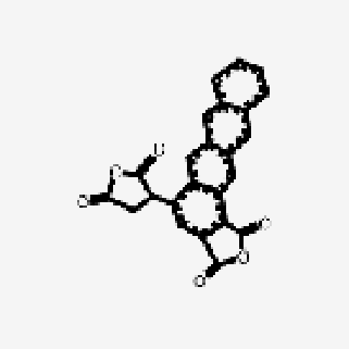 O=C1CC(c2cc3c(c4cc5cc6ccccc6cc5cc24)C(=O)OC3=O)C(=O)O1